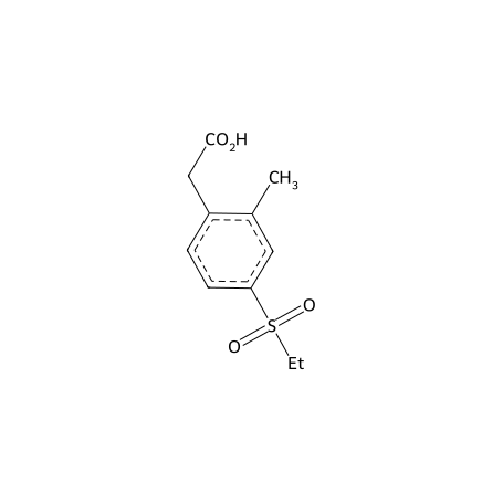 CCS(=O)(=O)c1ccc(CC(=O)O)c(C)c1